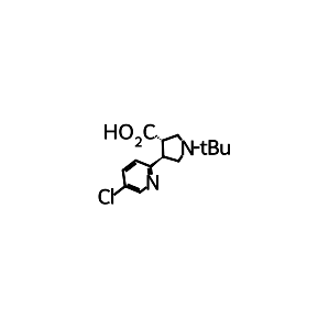 CC(C)(C)N1C[C@@H](C(=O)O)[C@H](c2ccc(Cl)cn2)C1